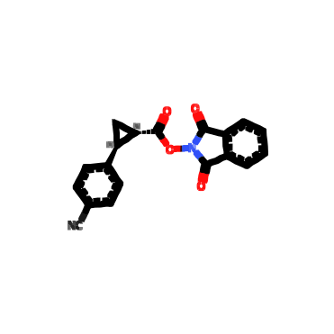 N#Cc1ccc([C@H]2C[C@@H]2C(=O)ON2C(=O)c3ccccc3C2=O)cc1